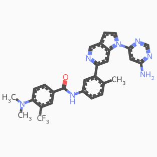 Cc1ccc(NC(=O)c2ccc(N(C)C)c(C(F)(F)F)c2)cc1-c1cc2c(ccn2-c2cc(N)ncn2)cn1